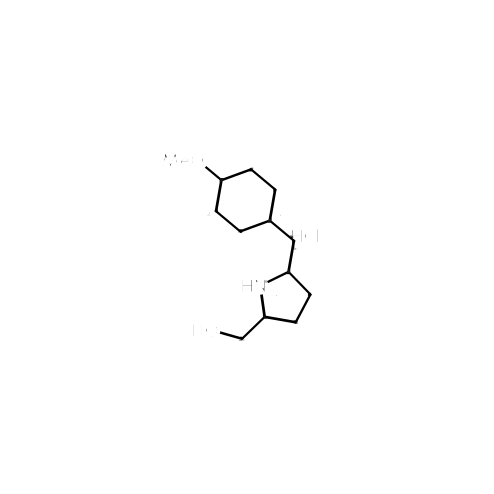 COC1CCC(CC2CCC(CO)N2)CC1.Cl